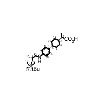 CC(C(=O)O)[C@H]1CC[C@H](c2ccc(NC[C@@H](C)O[Si](C)(C)C(C)(C)C)cc2)CC1